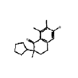 Cc1c(O)cc2c(c1C)C(=O)C(C)(C1CCCC1)CC2